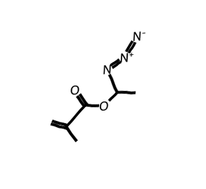 C=C(C)C(=O)OC(C)N=[N+]=[N-]